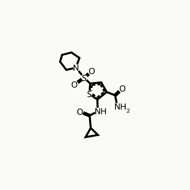 NC(=O)c1cc(S(=O)(=O)N2CCCCC2)sc1NC(=O)C1CC1